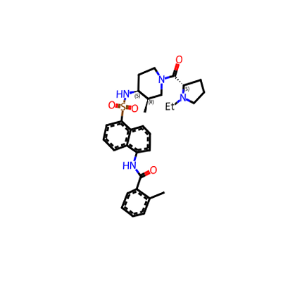 CCN1CCC[C@H]1C(=O)N1CC[C@H](NS(=O)(=O)c2cccc3c(NC(=O)c4ccccc4C)cccc23)[C@H](C)C1